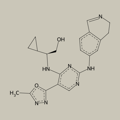 Cc1nnc(-c2cnc(Nc3ccc4c(c3)CCN=C4)nc2N[C@H](CO)C2CC2)o1